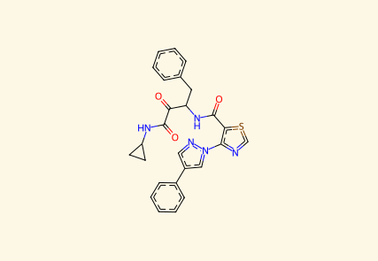 O=C(NC1CC1)C(=O)C(Cc1ccccc1)NC(=O)c1scnc1-n1cc(-c2ccccc2)cn1